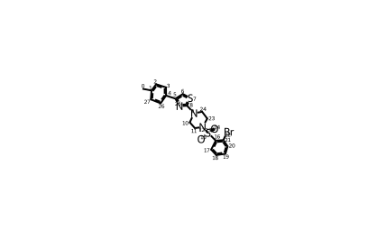 Cc1ccc(-c2csc(N3CCN(S(=O)(=O)c4ccccc4Br)CC3)n2)cc1